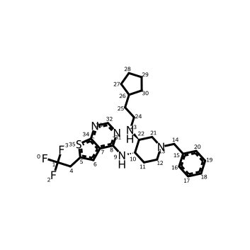 FC(F)(F)Cc1cc2c(N[C@H]3CCN(Cc4ccccc4)C[C@@H]3NCCC3CCCC3)ncnc2s1